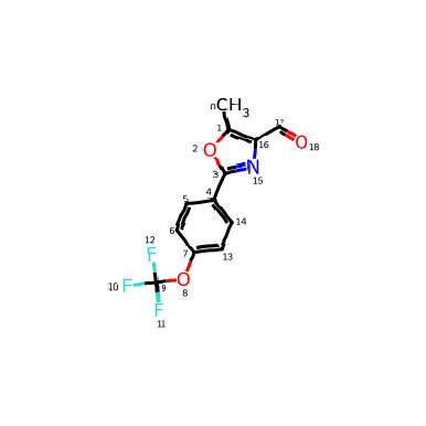 Cc1oc(-c2ccc(OC(F)(F)F)cc2)nc1C=O